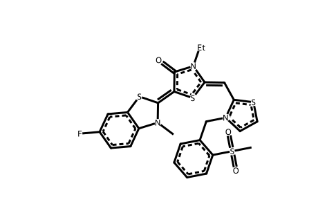 CCn1c(=O)/c(=C2\Sc3cc(F)ccc3N2C)s/c1=C\c1scc[n+]1Cc1ccccc1S(C)(=O)=O